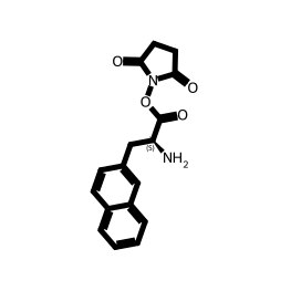 N[C@@H](Cc1ccc2ccccc2c1)C(=O)ON1C(=O)CCC1=O